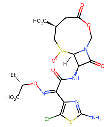 CC[C@H](O/N=C(\C(=O)N[C@@H]1C(=O)N2COC(=O)C[C@H](C(=O)O)C[S+]([O-])[C@H]12)c1nc(N)sc1Cl)C(=O)O